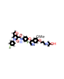 COc1cc2c(Oc3ccc(NC(=O)c4c5c(cn(-c6ccc(F)cc6)c4=O)CCO5)cc3F)ccnc2cc1OCCCN1CC(O)C1